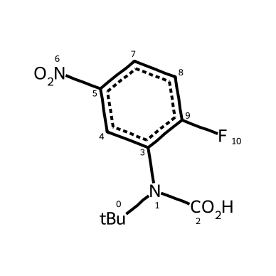 CC(C)(C)N(C(=O)O)c1cc([N+](=O)[O-])ccc1F